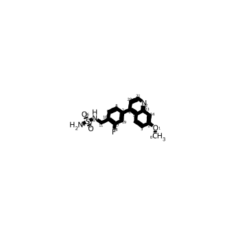 COc1ccc2c(-c3ccc(CNS(N)(=O)=O)c(F)c3)ccnc2c1